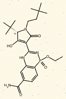 CCOP1(=O)N=C(C2=C(O)[C@H](C(C)(C)C)N(CCC(C)(C)C)C2=O)Nc2cc(C(N)=O)ccc21